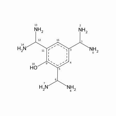 NC(N)c1cc(C(N)N)c(O)c(C(N)N)c1